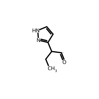 CCC([C]=O)c1cc[nH]n1